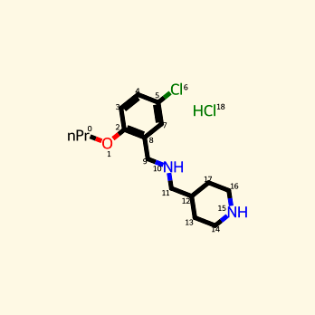 CCCOc1ccc(Cl)cc1CNCC1CCNCC1.Cl